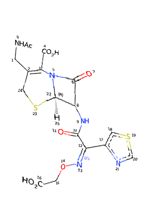 CC(=O)NCC1=C(C(=O)O)N2C(=O)C(NC(=O)/C(=N\OCC(=O)O)c3cscn3)[C@H]2SC1